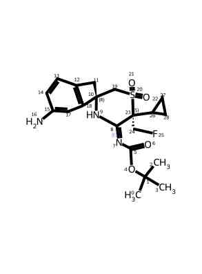 CC(C)(C)OC(=O)/N=C1/N[C@@]2(Cc3ccc(N)cc32)CS(=O)(=O)[C@@]1(CF)C1CC1